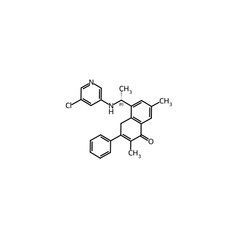 CC1=C(c2ccccc2)Cc2c(cc(C)cc2[C@@H](C)Nc2cncc(Cl)c2)C1=O